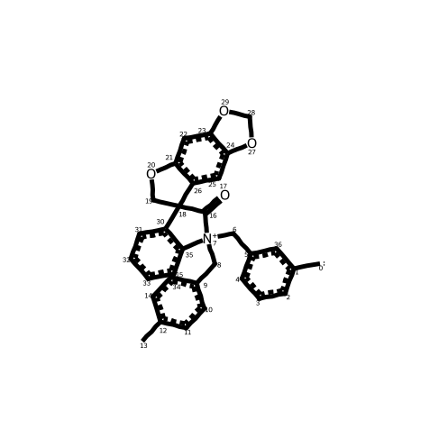 [CH]c1cccc(C[N+]2(Cc3ccc(C)cc3)C(=O)C3(COc4cc5c(cc43)OCO5)c3ccccc32)c1